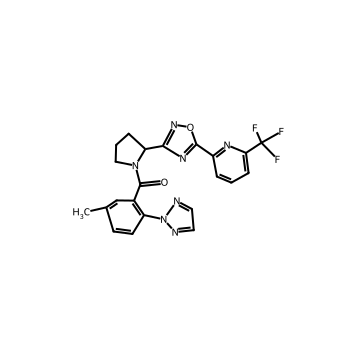 Cc1ccc(-n2nccn2)c(C(=O)N2CCCC2c2noc(-c3cccc(C(F)(F)F)n3)n2)c1